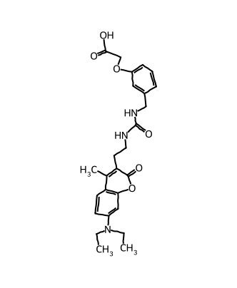 CCN(CC)c1ccc2c(C)c(CCNC(=O)NCc3cccc(OCC(=O)O)c3)c(=O)oc2c1